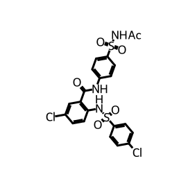 CC(=O)NS(=O)(=O)c1ccc(NC(=O)c2cc(Cl)ccc2NS(=O)(=O)c2ccc(Cl)cc2)cc1